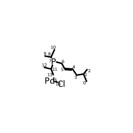 CC(C)CC=CCP(C(C)C)C(C)C.[Cl][Pd]